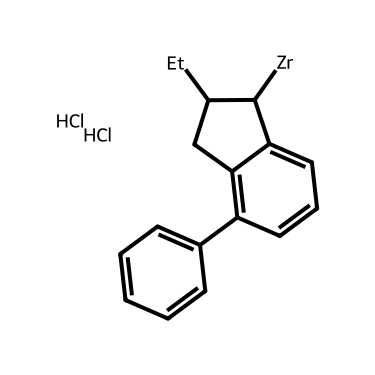 CCC1Cc2c(-c3ccccc3)cccc2[CH]1[Zr].Cl.Cl